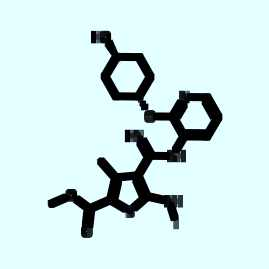 COC(=O)c1sc(NI)c(C(=N)Nc2cccnc2O[C@H]2CC[C@H](O)CC2)c1C